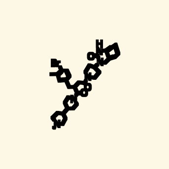 Cc1cc(CC(CC(=O)N2CCC(N3Cc4ccccc4NC3=O)CC2)C(=O)N2CCC(C3CCN(C)CC3)CC2)ccc1Br